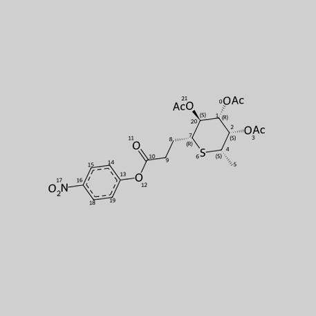 CC(=O)O[C@@H]1[C@H](OC(C)=O)[C@H](C)S[C@H](CCC(=O)Oc2ccc([N+](=O)[O-])cc2)[C@H]1OC(C)=O